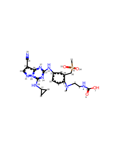 CN(CCNC(=O)O)c1ccc(Nc2nc(NC3CC3)n3ncc(C#N)c3n2)cc1CS(C)(=O)=O